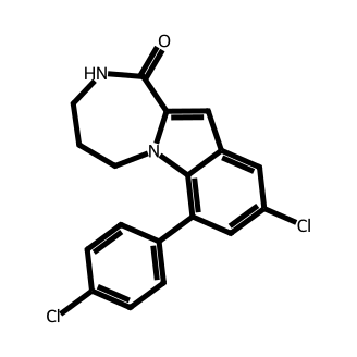 O=C1NCCCn2c1cc1cc(Cl)cc(-c3ccc(Cl)cc3)c12